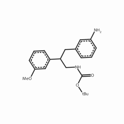 COc1cccc(C(CNC(=O)OC(C)(C)C)Cc2cccc(N)c2)c1